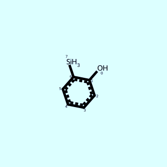 Oc1ccccc1[SiH3]